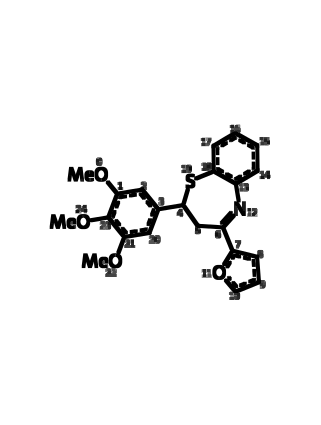 COc1cc(C2CC(c3ccco3)=Nc3ccccc3S2)cc(OC)c1OC